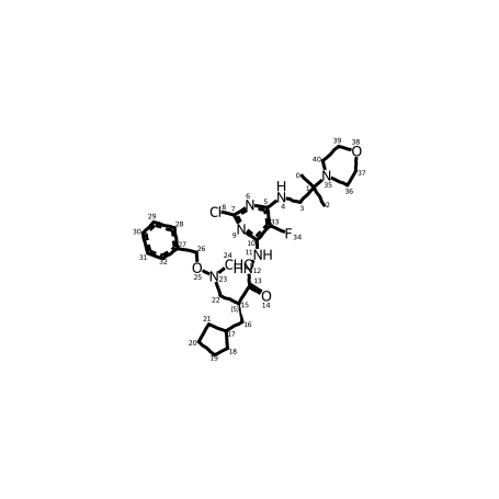 CC(C)(CNc1nc(Cl)nc(NNC(=O)[C@@H](CC2CCCC2)CN(C=O)OCc2ccccc2)c1F)N1CCOCC1